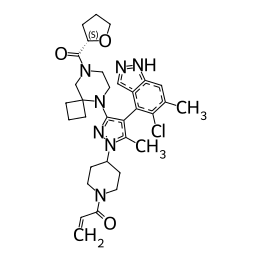 C=CC(=O)N1CCC(n2nc(N3CCN(C(=O)[C@@H]4CCCO4)CC34CCC4)c(-c3c(Cl)c(C)cc4[nH]ncc34)c2C)CC1